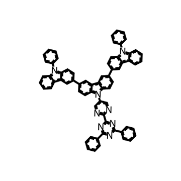 c1ccc(-c2nc(-c3ccccc3)nc(-c3ncc(-n4c5ccc(-c6ccc7c(c6)c6ccccc6n7-c6ccccc6)cc5c5cc(-c6ccc7c(c6)c6ccccc6n7-c6ccccc6)ccc54)cn3)n2)cc1